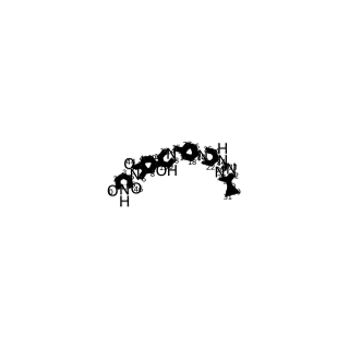 O=C1CCC(N2Cc3cc(C4(O)CCN(Cc5ccc(N6CCC(Nc7ncc(C8CC8)cn7)CC6)cc5)CC4)ccc3C2=O)C(=O)N1